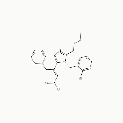 CCCCc1ncc(C(=CC(=O)O)Cc2ccccc2)n1Cc1ccccc1Cl